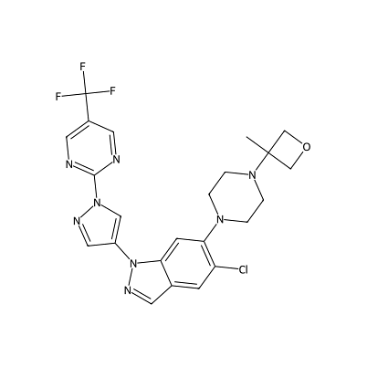 CC1(N2CCN(c3cc4c(cnn4-c4cnn(-c5ncc(C(F)(F)F)cn5)c4)cc3Cl)CC2)COC1